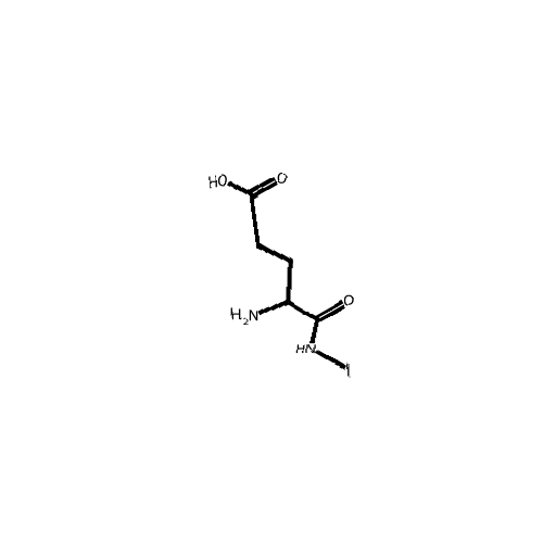 NC(CCC(=O)O)C(=O)NI